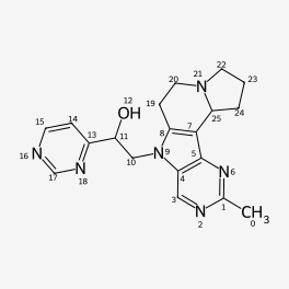 Cc1ncc2c(n1)c1c(n2CC(O)c2ccncn2)CCN2CCCC12